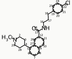 CN1CCC(c2cccc3ccc(C(=O)NCCCc4ccc(Cl)cc4)cc23)CC1